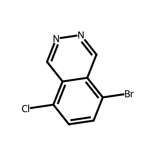 Clc1ccc(Br)c2cnncc12